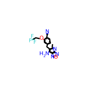 Cc1nc2nonc2c(N)c1Cc1ccc(C#N)c(OCCC(F)(F)F)c1